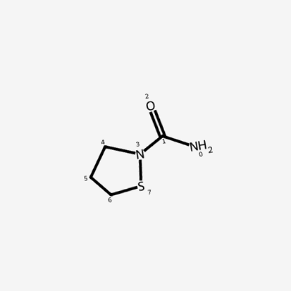 NC(=O)N1CCCS1